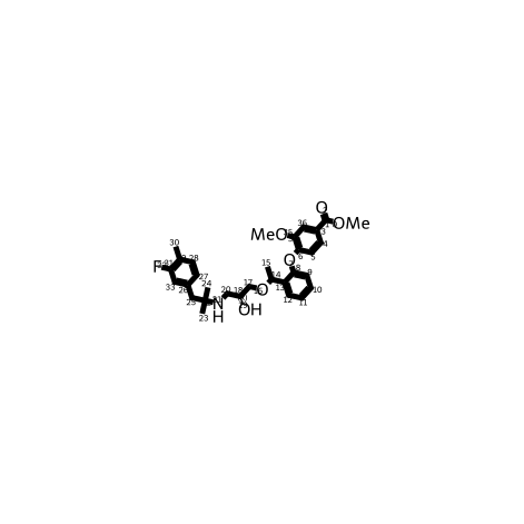 COC(=O)c1ccc(Oc2ccccc2C(C)OC[C@H](O)CNC(C)(C)Cc2ccc(C)c(F)c2)c(OC)c1